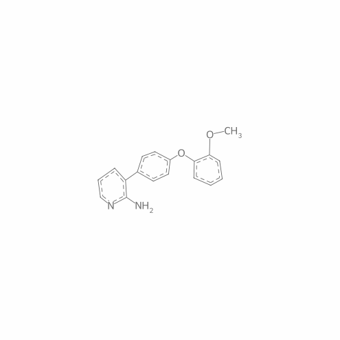 COc1ccccc1Oc1ccc(-c2cccnc2N)cc1